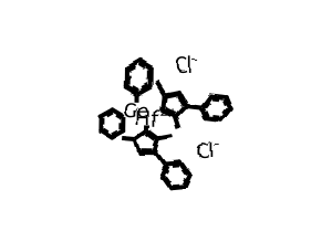 CC1=[C]([Hf+2]([C]2=C(C)C(c3ccccc3)=CC2C)=[Ge]([c]2ccccc2)[c]2ccccc2)C(C)C=C1c1ccccc1.[Cl-].[Cl-]